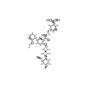 CCOc1ncccc1-c1ccc(OC2CC3(C2)CN(c2ccc(F)cc2C#N)C3)c(C(=O)NCCc2cncc(B(O)O)c2)n1